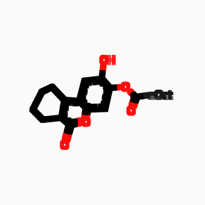 CCCCCCCCC(=O)Oc1cc2oc(=O)c3c(c2cc1O)CCCC3